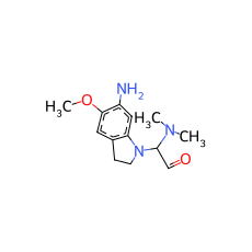 COc1cc2c(cc1N)N(C(C=O)N(C)C)CC2